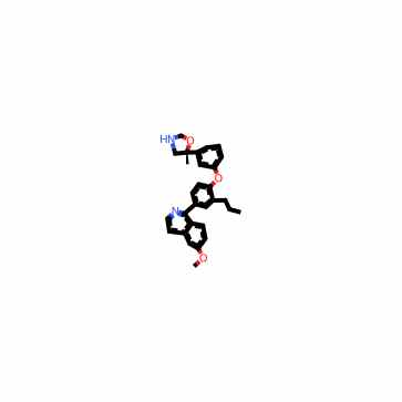 CCCc1cc(-c2nccc3cc(OC)ccc23)ccc1Oc1cccc([C@]2(C)CNCO2)c1